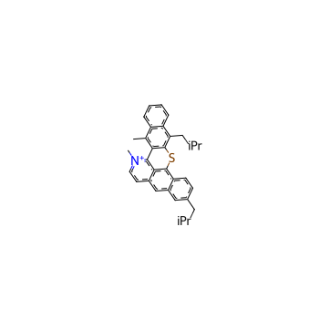 Cc1c2c(c(CC(C)C)c3ccccc13)Sc1c3ccc(CC(C)C)cc3cc3cc[n+](C)c-2c13